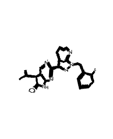 CC(C)=C1C(=O)Nc2nc(-c3nn(Cc4ccccc4F)c4ncccc34)ncc21